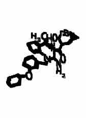 CCCCC(O)C(CC1CC1)C(=O)C1N=C(C)c2ccccc2N(Cc2cccc(Oc3ccccc3)c2)C1N